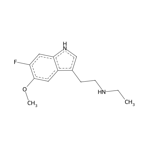 CCNCCc1c[nH]c2cc(F)c(OC)cc12